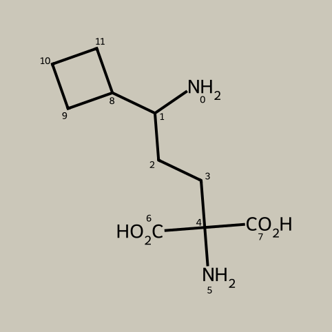 NC(CCC(N)(C(=O)O)C(=O)O)C1CCC1